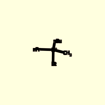 CCCC[N+](C)(CC)CCC